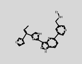 C/C=C(/c1ccoc1)c1c[nH]c(-c2n[nH]c3ccc(-c4cncc(CNCC)c4)nc23)n1